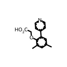 Cc1cc(C)c(OCC(=O)O)c(-c2ccncc2)c1